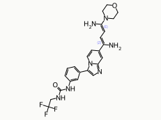 N/C(=C\C=C(/N)N1CCOCC1)c1ccn2c(-c3cccc(NC(=O)NCC(F)(F)F)c3)cnc2c1